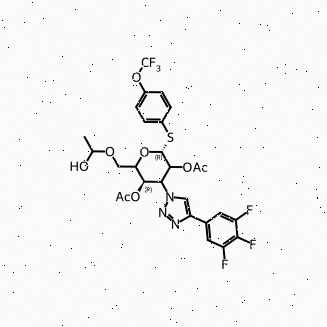 CC(=O)OC1C(n2cc(-c3cc(F)c(F)c(F)c3)nn2)[C@@H](OC(C)=O)C(COC(C)O)O[C@@H]1Sc1ccc(OC(F)(F)F)cc1